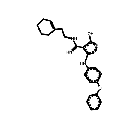 N=C(NCCC1=CCCCC1)c1c(O)nsc1Nc1ccc(Oc2ccccc2)cc1